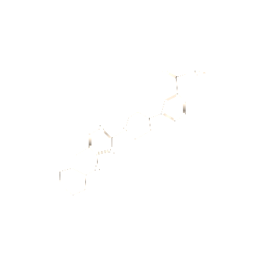 CCCc1nc(N2CCC(c3cccc(C(=O)OC)c3)CC2)nc(NC2CCOCC2)c1C